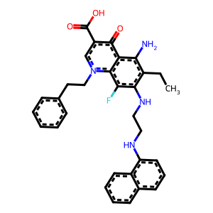 CCc1c(NCCNc2cccc3ccccc23)c(F)c2c(c1N)c(=O)c(C(=O)O)cn2CCc1ccccc1